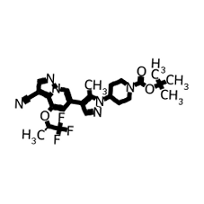 Cc1c(-c2cc(O[C@@H](C)C(F)(F)F)c3c(C#N)cnn3c2)cnn1C1CCN(C(=O)OC(C)(C)C)CC1